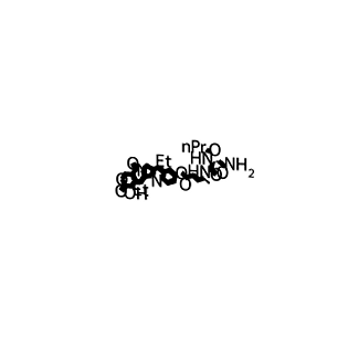 CCCC(=O)N[C@H](CC(N)=O)C(=O)N[C@@H](C)/C=C/C(=O)Oc1ccc2nc3c(c(CC)c2c1)Cn1c-3cc2c(c1=O)COC(=O)[C@]2(O)CC